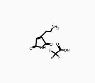 NCCC1=CC(=O)NC1=O.O=C(O)C(F)(F)F